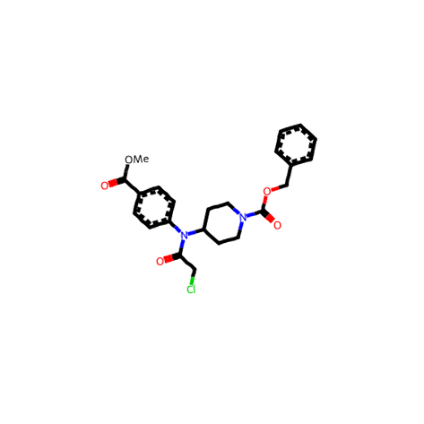 COC(=O)c1ccc(N(C(=O)CCl)C2CCN(C(=O)OCc3ccccc3)CC2)cc1